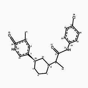 Cc1cc([C@@H]2CCCN(C(C)C(=O)Nc3ccc(Cl)cn3)C2)c[nH]c1=O